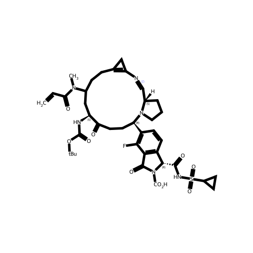 C=CC(=O)N(C)C1CCC2=C(C2)/N=C\[C@@H]2CCCN2[C@@H](c2ccc3c(c2F)C(=O)N(C(=O)O)[C@H]3C(=O)NS(=O)(=O)C2CC2)CCC(=O)[C@@H](NC(=O)OC(C)(C)C)C1